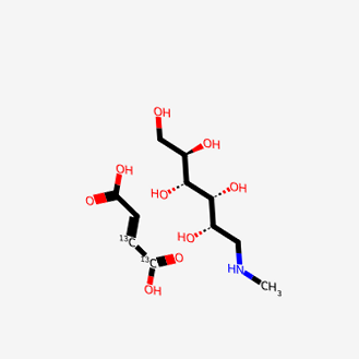 CNC[C@H](O)[C@@H](O)[C@H](O)[C@H](O)CO.O=C(O)/C=[13CH]/[13C](=O)O